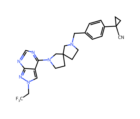 N#CC1(c2ccc(CN3CCC4(CCN(c5ncnc6nn(CC(F)(F)F)cc56)C4)C3)cc2)CC1